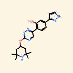 CC1(C)CC(Oc2ncc(-c3ccc(-c4cc[nH]n4)cc3O)nn2)CC(C)(C)N1